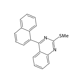 CSc1nc(-c2cccc3ccccc23)c2ccccc2n1